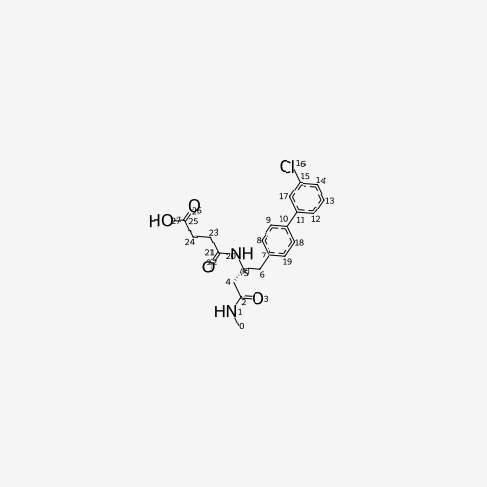 CNC(=O)C[C@@H](Cc1ccc(-c2cccc(Cl)c2)cc1)NC(=O)CCC(=O)O